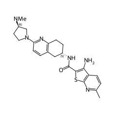 CN[C@@H]1CCN(c2ccc3c(n2)CC[C@H](NC(=O)c2sc4nc(C)ccc4c2N)C3)C1